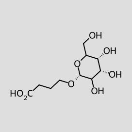 O=C(O)CCCO[C@@H]1OC(CO)[C@H](O)[C@H](O)C1O